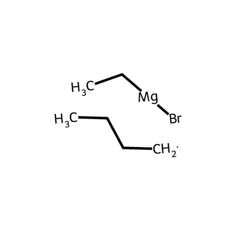 C[CH2][Mg][Br].[CH2]CCC